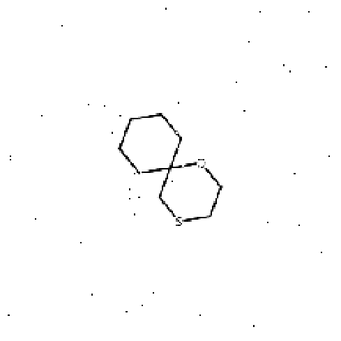 C1CCC2(CC1)CSCCO2